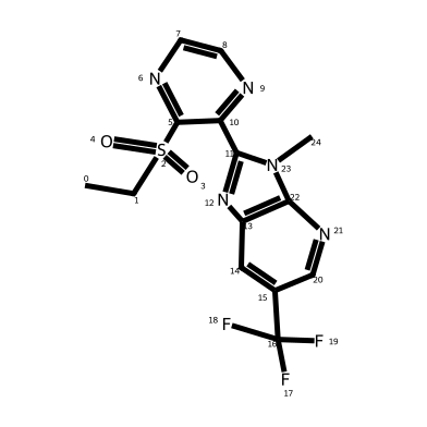 CCS(=O)(=O)c1nccnc1-c1nc2cc(C(F)(F)F)cnc2n1C